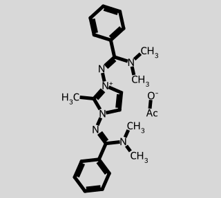 CC(=O)[O-].Cc1n(N=C(c2ccccc2)N(C)C)cc[n+]1N=C(c1ccccc1)N(C)C